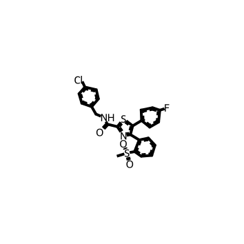 CS(=O)(=O)c1ccccc1-c1nc(C(=O)NCc2ccc(Cl)cc2)sc1-c1ccc(F)cc1